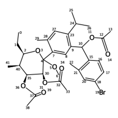 CC[C@H]1OC(OC)(c2cc(C(OC(C)=O)c3ccc(Br)cc3C)c(C(C)C)cc2C)[C@@H](OC(C)=O)[C@@H](OC(C)=O)[C@H]1C